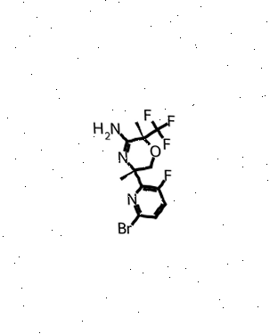 C[C@]1(c2nc(Br)ccc2F)CO[C@@](C)(C(F)(F)F)C(N)=N1